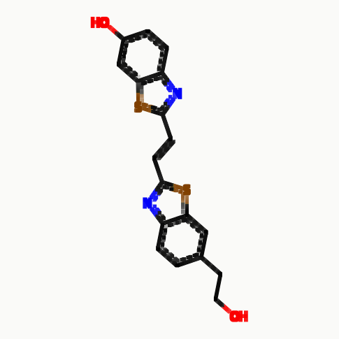 OCCc1ccc2nc(C=Cc3nc4ccc(O)cc4s3)sc2c1